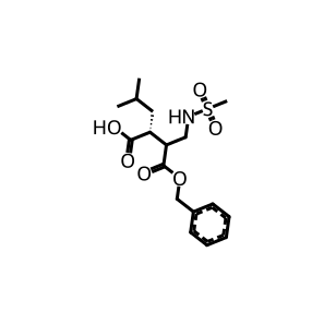 CC(C)C[C@@H](C(=O)O)C(CNS(C)(=O)=O)C(=O)OCc1ccccc1